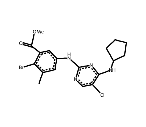 COC(=O)c1cc(Nc2ncc(Cl)c(NC3CCCC3)n2)cc(C)c1Br